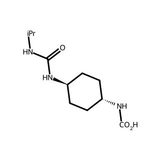 CC(C)NC(=O)N[C@H]1CC[C@H](NC(=O)O)CC1